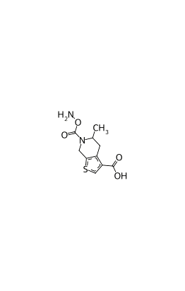 CC1Cc2c(C(=O)O)csc2CN1C(=O)ON